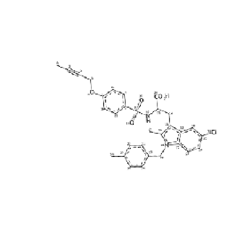 CC#CCOc1ccc(S(=O)(=O)NC(Cc2c(C)n(Cc3ccc(C)cc3)c3ccc(Cl)cc23)C(=O)O)cc1